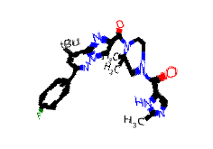 Cc1ncc(C(=O)N2CCN(C(=O)c3cn4nc(-c5ccc(F)cc5)cc(C(C)(C)C)c4n3)C(C)(C)C2)[nH]1